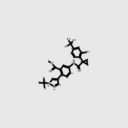 COC(=O)c1cc(NC(=O)C2(c3ccc(C(F)(F)F)cc3F)CC2)ccc1-c1cnn(C(C)(C)C)c1